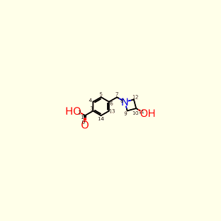 O=C(O)c1ccc(CN2CC(O)C2)cc1